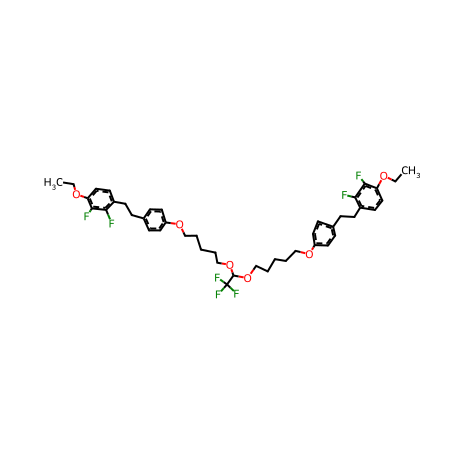 CCOc1ccc(CCc2ccc(OCCCCCOC(OCCCCCOc3ccc(CCc4ccc(OCC)c(F)c4F)cc3)C(F)(F)F)cc2)c(F)c1F